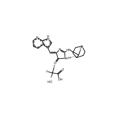 Cl.O=C(O)C(F)(F)F.O=C1NC(N[C@H]2CN3CCC2CC3)=NC1=Cc1c[nH]c2ncccc12